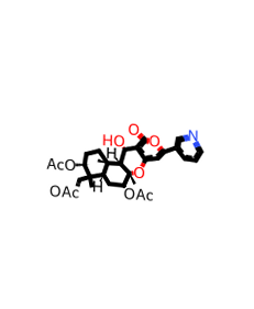 CC(=O)OCC1(C)[C@@H](OC(C)=O)CC[C@]2(C)[C@H]3[C@@H](O)c4c(cc(-c5cccnc5)oc4=O)O[C@]3(C)[C@@H](OC(C)=O)C[C@@H]12